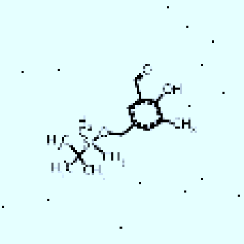 Cc1cc(CO[Si](C)(C)C(C)(C)C)cc(C=O)c1O